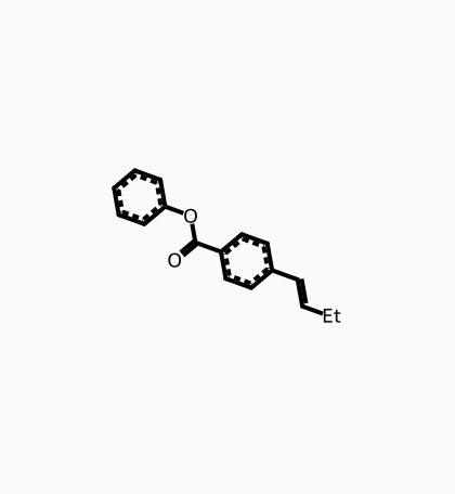 CC/C=C/c1ccc(C(=O)Oc2ccccc2)cc1